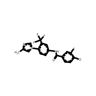 Cc1cn(-c2ccc(NC(=O)c3ccc(Cl)c(I)c3)cc2C(F)(F)F)cn1